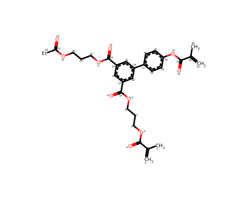 C=C(C)C(=O)OCCCOC(=O)c1cc(C(=O)OCCCOC(=O)CC)cc(-c2ccc(OC(=O)C(=C)C)cc2)c1